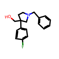 OCC1(c2ccc(F)cc2)CCN(Cc2ccccc2)C1